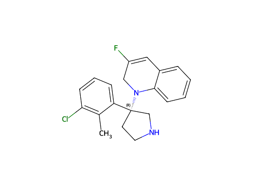 Cc1c(Cl)cccc1[C@]1(N2CC(F)=Cc3ccccc32)CCNC1